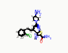 NC(=O)c1sc2nc(N3CCC(N)CC3)cc(C=Cc3ccccc3Cl)c2c1N